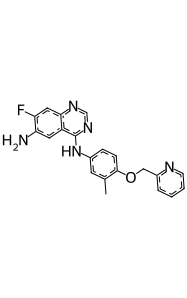 Cc1cc(Nc2ncnc3cc(F)c(N)cc23)ccc1OCc1ccccn1